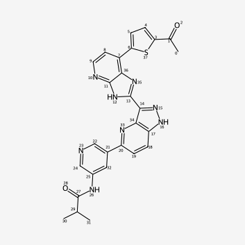 CC(=O)c1ccc(-c2ccnc3[nH]c(-c4n[nH]c5ccc(-c6cncc(NC(=O)C(C)C)c6)nc45)nc23)s1